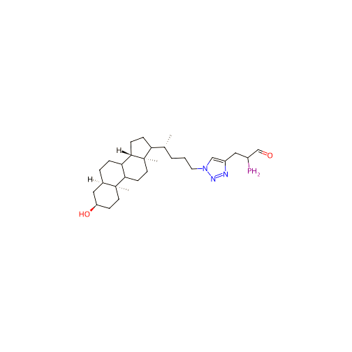 C[C@H](CCCn1cc(CC(P)C=O)nn1)C1CC[C@H]2C3CC[C@@H]4C[C@H](O)CC[C@]4(C)C3CC[C@]12C